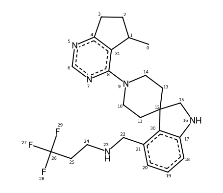 CC1CCc2ncnc(N3CCC4(CC3)CNc3cccc(CNCCC(F)(F)F)c34)c21